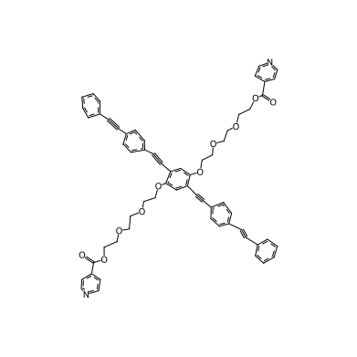 O=C(OCCOCCOCCOc1cc(C#Cc2ccc(C#Cc3ccccc3)cc2)c(OCCOCCOCCOC(=O)c2ccncc2)cc1C#Cc1ccc(C#Cc2ccccc2)cc1)c1ccncc1